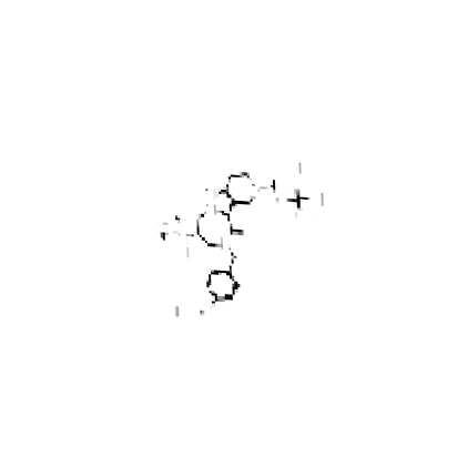 COc1ccc(CN2CC(NS(C)(=O)=O)Cn3nc4c(c3C2=O)CN(C(=O)OC(C)(C)C)CC4)cc1